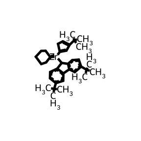 CC(C)(C)C1=CC[C]([Zr](=[C]2CCCCC2)[CH]2c3ccc(C(C)(C)C)cc3-c3cc(C(C)(C)C)ccc32)=C1